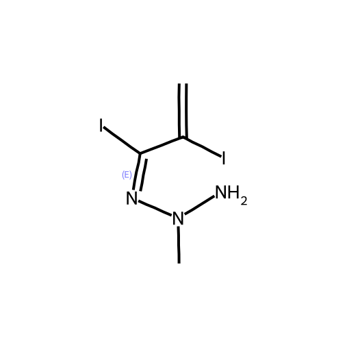 C=C(I)/C(I)=N\N(C)N